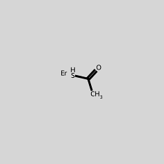 CC(=O)S.[Er]